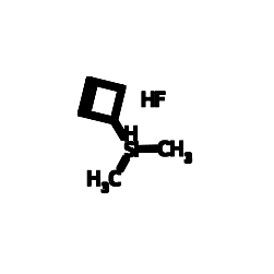 C[SiH](C)C1C=CC1.F